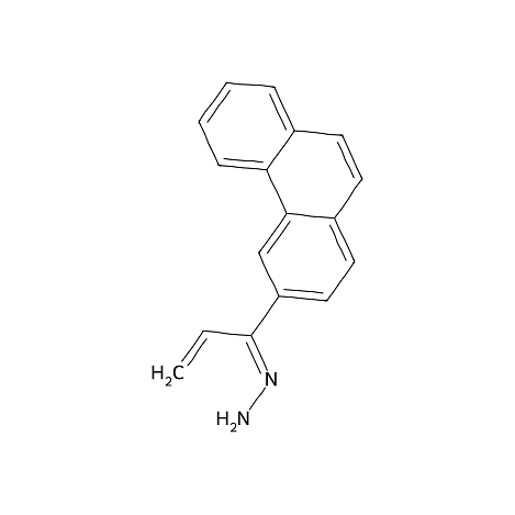 C=CC(=NN)c1ccc2ccc3ccccc3c2c1